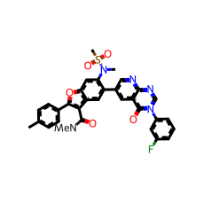 CNC(=O)c1c(-c2ccc(C)cc2)oc2cc(N(C)S(C)(=O)=O)c(-c3cnc4ncn(-c5cccc(F)c5)c(=O)c4c3)cc12